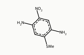 CSc1cc(N)c([N+](=O)[O-])cc1N